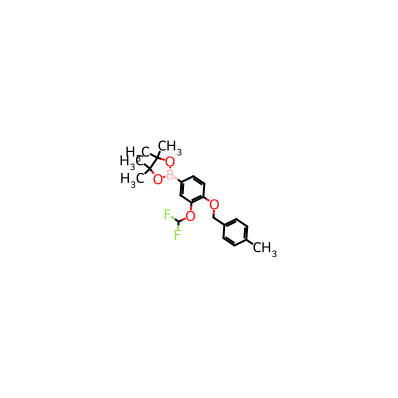 Cc1ccc(COc2ccc(B3OC(C)(C)C(C)(C)O3)cc2OC(F)F)cc1